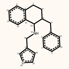 c1ccc(CC2CCc3ccccc3C2NCc2ccoc2)cc1